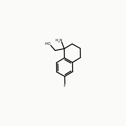 NC1(CO)CCCc2cc(F)ccc21